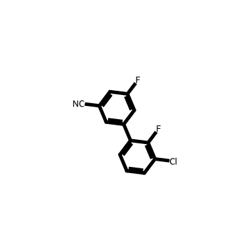 N#Cc1cc(F)cc(-c2cccc(Cl)c2F)c1